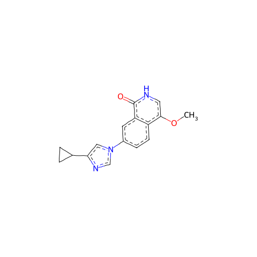 COc1c[nH]c(=O)c2cc(-n3cnc(C4CC4)c3)ccc12